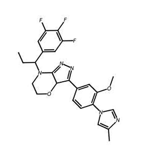 CCC(c1cc(F)c(F)c(F)c1)N1CCOC2C(c3ccc(-n4cnc(C)c4)c(OC)c3)=NN=C21